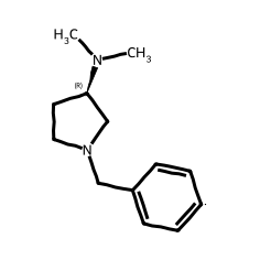 CN(C)[C@@H]1CCN(Cc2cc[c]cc2)C1